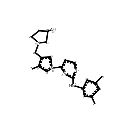 Cc1cc(C)cc(Nc2nccc(-n3cc(C)c(CN4CCC(O)C4)c3)n2)c1